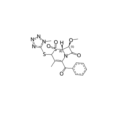 CO[C@H]1C(=O)N2C(C(=O)c3ccccc3)=C(C)C(Sc3nnnn3C)S(=O)(=O)[C@H]12